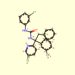 O=C(Nc1cccc(F)c1)NC(Cc1ccccc1)(c1ccc(Cl)cn1)c1cc(C(F)(F)F)ccc1F